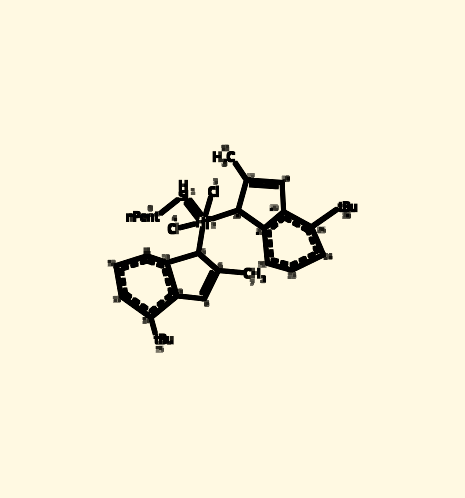 CCCCC[SiH]=[Hf]([Cl])([Cl])([CH]1C(C)=Cc2c1cccc2C(C)(C)C)[CH]1C(C)=Cc2c1cccc2C(C)(C)C